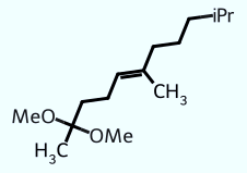 COC(C)(CC/C=C(\C)CCCC(C)C)OC